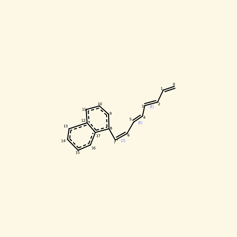 C=C/C=C/C=C/C=[C]\c1cccc2ccccc12